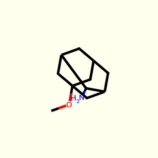 COC12CC3CC(C1)C(N)C(C3)C2